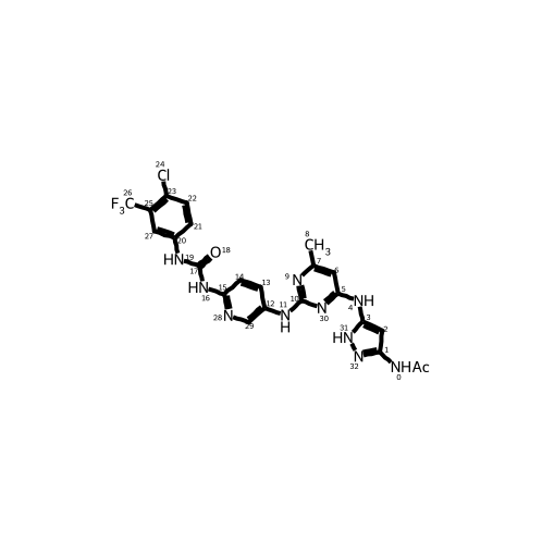 CC(=O)Nc1cc(Nc2cc(C)nc(Nc3ccc(NC(=O)Nc4ccc(Cl)c(C(F)(F)F)c4)nc3)n2)[nH]n1